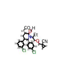 CCC(COCC1(C#N)CC1)N1C(=O)[C@@H](CC(=O)O)CC(c2cccc(Cl)c2)[C@H]1c1ccc(Cl)cc1